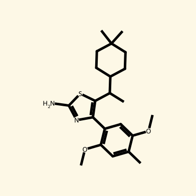 COc1cc(-c2nc(N)sc2C(C)C2CCC(C)(C)CC2)c(OC)cc1C